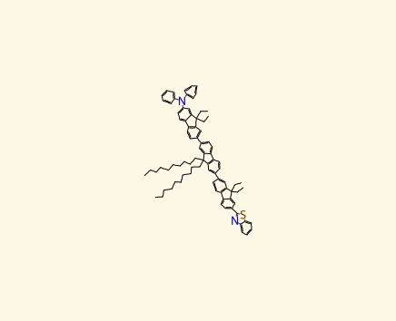 CCCCCCCCCCC1(CCCCCCCCCC)c2cc(-c3ccc4c(c3)C(CC)(CC)c3cc(-c5nc6ccccc6s5)ccc3-4)ccc2-c2ccc(-c3ccc4c(c3)C(CC)(CC)c3cc(N(c5ccccc5)c5ccccc5)ccc3-4)cc21